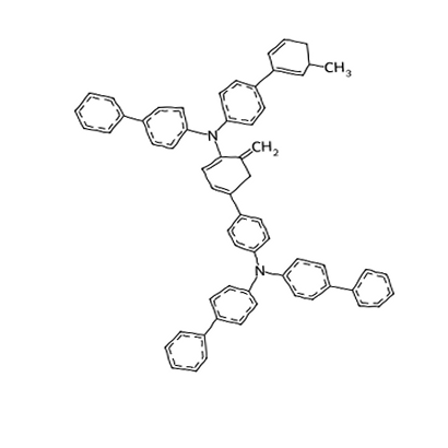 C=C1CC(c2ccc(N(c3ccc(-c4ccccc4)cc3)c3ccc(-c4ccccc4)cc3)cc2)=CC=C1N(c1ccc(C2=CC(C)CC=C2)cc1)c1ccc(-c2ccccc2)cc1